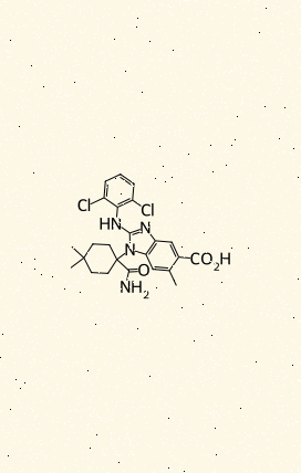 Cc1cc2c(cc1C(=O)O)nc(Nc1c(Cl)cccc1Cl)n2C1(C(N)=O)CCC(C)(C)CC1